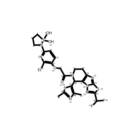 CCc1nc(N2CCCS2(O)O)ccc1OCC(=O)N1CCc2nc3sc(C(F)F)nn3c2C1c1sc(C)nc1C